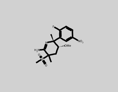 CO[C@@H]1CC(C)(S(C)(=O)=O)C(N)=N[C@]1(C)c1cc([N+](=O)[O-])ccc1F